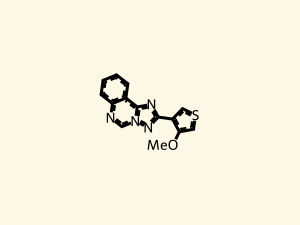 COc1cscc1-c1nc2c3ccccc3ncn2n1